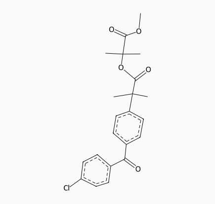 COC(=O)C(C)(C)OC(=O)C(C)(C)c1ccc(C(=O)c2ccc(Cl)cc2)cc1